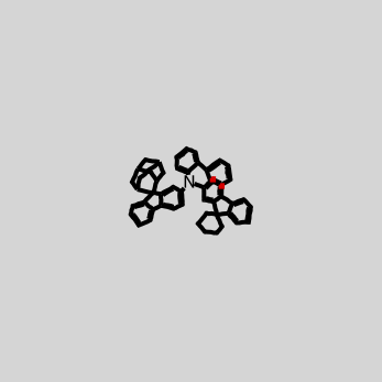 c1ccc(-c2ccccc2N(c2ccc3c(c2)C2(CCCCC2)c2ccccc2-3)c2ccc3c(c2)C2(c4ccccc4-3)C3CC4CC(C3)CC2C4)cc1